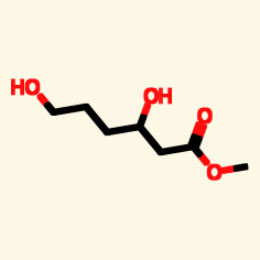 COC(=O)CC(O)CCCO